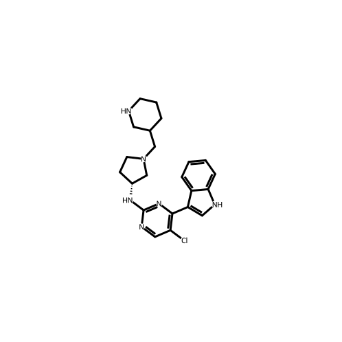 Clc1cnc(N[C@@H]2CCN(CC3CCCNC3)C2)nc1-c1c[nH]c2ccccc12